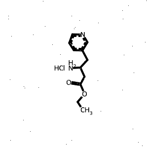 CCOC(=O)CC(N)Cc1cccnc1.Cl